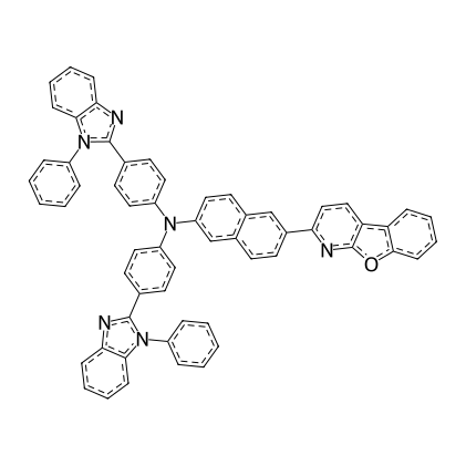 c1ccc(-n2c(-c3ccc(N(c4ccc(-c5nc6ccccc6n5-c5ccccc5)cc4)c4ccc5cc(-c6ccc7c(n6)oc6ccccc67)ccc5c4)cc3)nc3ccccc32)cc1